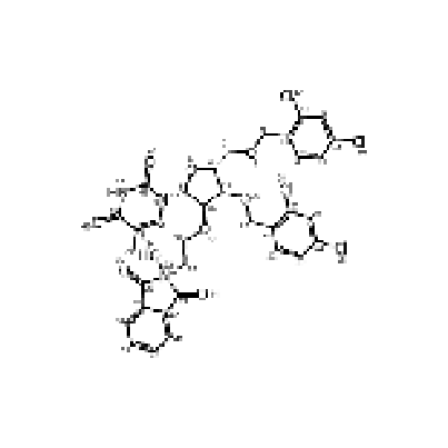 Cc1cn([C@@H]2O[C@H](COCc3ccc(Cl)cc3Cl)[C@@H](OCc3ccc(Cl)cc3Cl)[C@H]2OCC[N+]2(O)C(=O)c3ccccc3C2=O)c(=O)[nH]c1=O